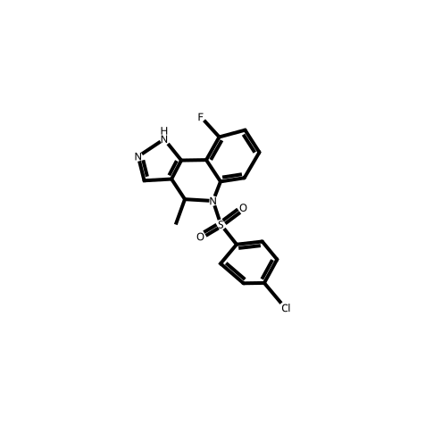 CC1c2cn[nH]c2-c2c(F)cccc2N1S(=O)(=O)c1ccc(Cl)cc1